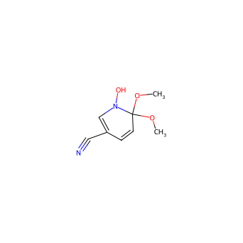 COC1(OC)C=CC(C#N)=CN1O